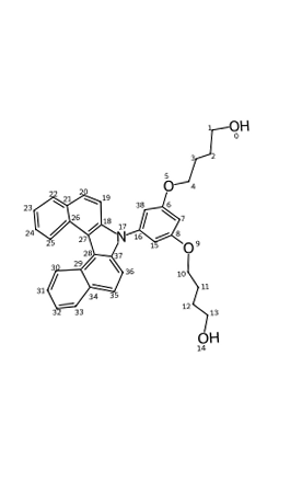 OCCCCOc1cc(OCCCCO)cc(-n2c3ccc4ccccc4c3c3c4ccccc4ccc32)c1